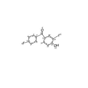 O=C(c1ccc(F)cc1)c1ccc(O)c(I)c1